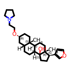 C[C@]12CC[C@@H](OCCN3CCCC3)C[C@H]1CC[C@@H]1[C@@H]2CC[C@]2(C)[C@@H](c3ccoc3)CC[C@]12O